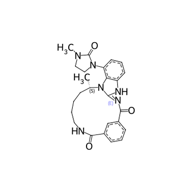 C[C@H]1CCCCNC(=O)c2cccc(c2)C(=O)/N=C2\Nc3cccc(N4CCN(C)C4=O)c3N21